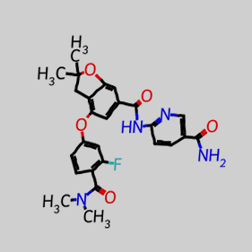 CN(C)C(=O)c1ccc(Oc2cc(C(=O)Nc3ccc(C(N)=O)cn3)cc3c2CC(C)(C)O3)cc1F